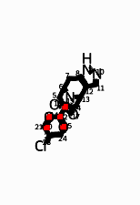 COC(=O)C1CC2Cc3[nH]ncc3C(C1)N2S(=O)(=O)c1ccc(Cl)cc1